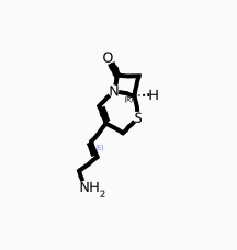 NC/C=C/C1=CN2C(=O)C[C@H]2SC1